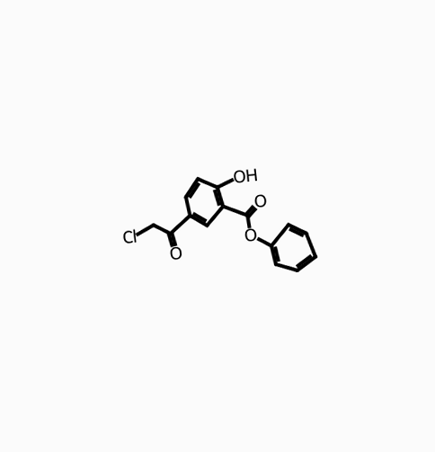 O=C(CCl)c1ccc(O)c(C(=O)Oc2ccccc2)c1